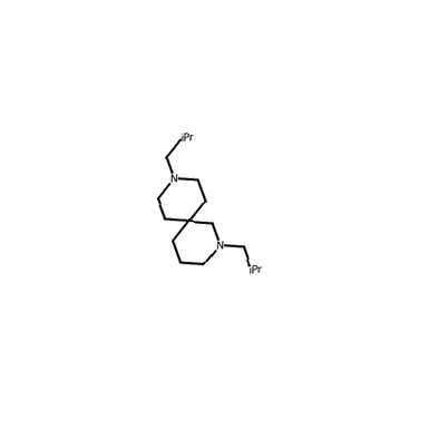 CC(C)CN1CCC2(CCCN(CC(C)C)C2)CC1